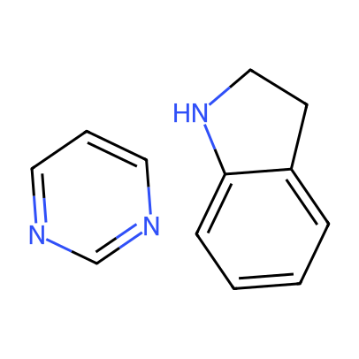 c1ccc2c(c1)CCN2.c1cncnc1